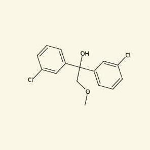 COCC(O)(c1cccc(Cl)c1)c1cccc(Cl)c1